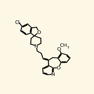 COc1cccc2c1CC(=CCCN1CCC3(CC1)OCc1cc(Cl)ccc13)c1cccnc1O2